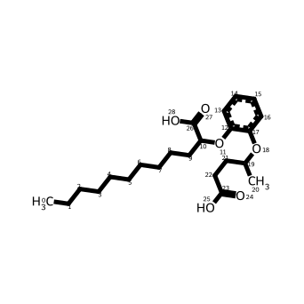 CCCCCCCCCCC(Oc1ccccc1OC(C)CCC(=O)O)C(=O)O